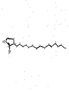 CCCCCCCCCCCCCCCn1ccnc1Br